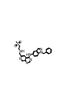 CS(=O)(=O)CCNCc1cc2c(Nc3ccc4c(cnn4Cc4ccccc4)c3)ncnc2cn1